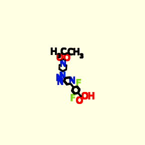 CC(C)OC(=O)N1CCC(n2nnc3cc(-c4cc(F)c(C(=O)O)cc4F)ncc32)CC1